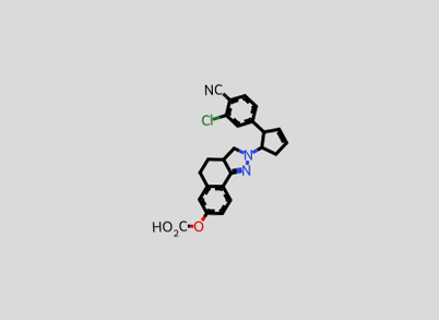 N#Cc1ccc(C2C=CCC2N2CC3CCc4cc(OC(=O)O)ccc4C3=N2)cc1Cl